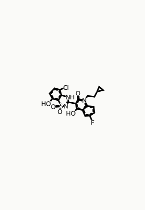 O=c1c(C2=NS(=O)(=O)c3c(O)ccc(Cl)c3N2)c(O)c2cc(F)ccc2n1CCC1CC1